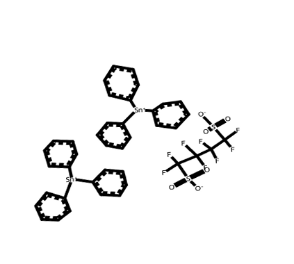 O=S(=O)([O-])C(F)(F)C(F)(F)C(F)(F)C(F)(F)S(=O)(=O)[O-].c1cc[c]([Sn+]([c]2ccccc2)[c]2ccccc2)cc1.c1cc[c]([Sn+]([c]2ccccc2)[c]2ccccc2)cc1